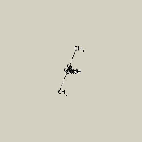 CCCCCCCCCCCCCCCCCCOC(=O)C(CC(=O)OCCCCCCCCCCCCCCCC)S(=O)(=O)O.[NaH].[NaH]